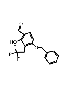 O=Cc1ccc(OCc2ccccc2)c(CC(F)(F)F)c1O